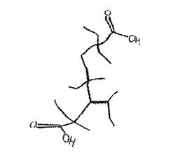 CC(C)C(C(C)(C)CC(C)(C)C(=O)O)C(C)(C)C(=O)O